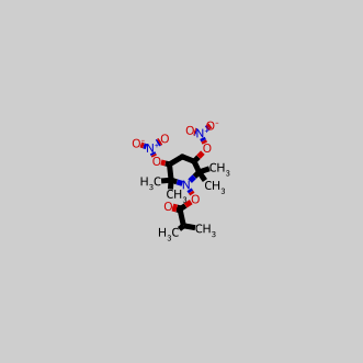 CC(C)C(=O)ON1C(C)(C)C(O[N+](=O)[O-])CC(O[N+](=O)[O-])C1(C)C